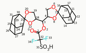 O=C(OC(C1COC2(O1)C1CC3CC(C1)CC2C3)C1COC2(O1)C1CC3CC(C1)CC2C3)C(F)(F)S(=O)(=O)O